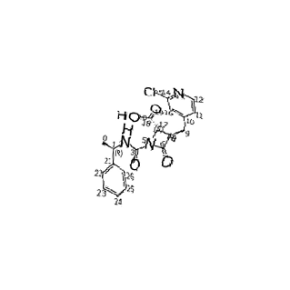 C[C@@H](NC(=O)N1C(=O)[C@H](Cc2ccnc(Cl)c2)[C@H]1C(=O)O)c1ccccc1